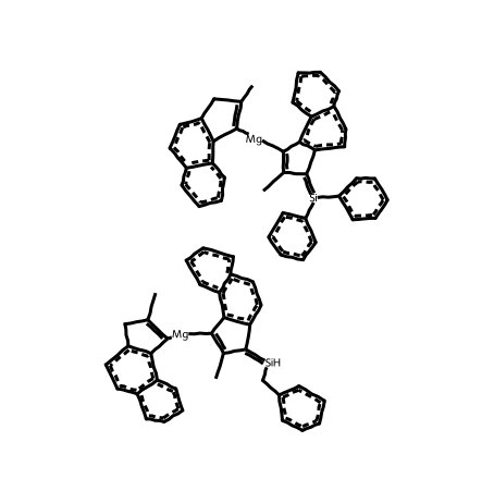 CC1=[C]([Mg][C]2=C(C)C(=[SiH]Cc3ccccc3)c3ccc4ccccc4c32)c2c(ccc3ccccc23)C1.CC1=[C]([Mg][C]2=C(C)C(=[Si](c3ccccc3)c3ccccc3)c3ccc4ccccc4c32)c2c(ccc3ccccc23)C1